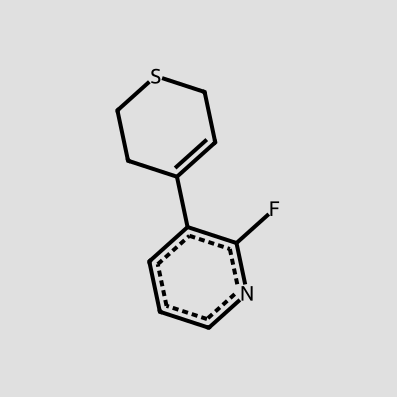 Fc1ncccc1C1=CCSCC1